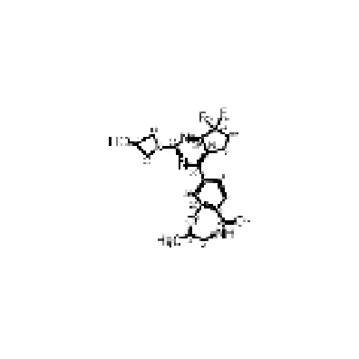 CC1CNC(=O)c2ccc(-c3nc(N4CC(O)C4)nc4c3CCC4(F)F)cc2O1